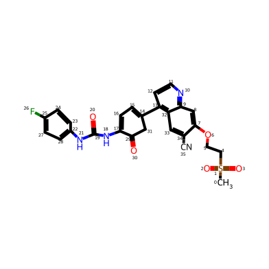 CS(=O)(=O)CCOc1cc2nccc(C3=CC=C(NC(=O)Nc4ccc(F)cc4)C(=O)C3)c2cc1C#N